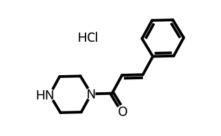 Cl.O=C(C=Cc1ccccc1)N1CCNCC1